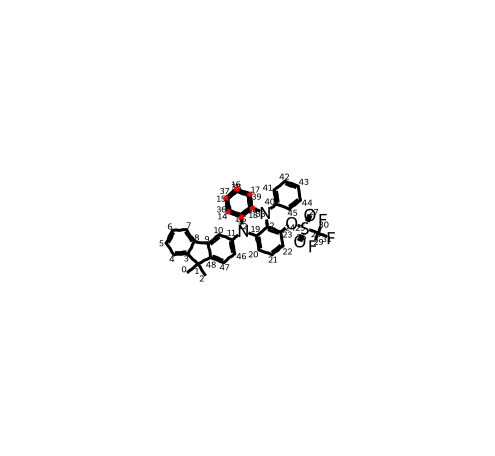 CC1(C)c2ccccc2-c2cc(N(c3ccccc3)c3cccc(OS(=O)(=O)C(F)(F)F)c3N(c3ccccc3)c3ccccc3)ccc21